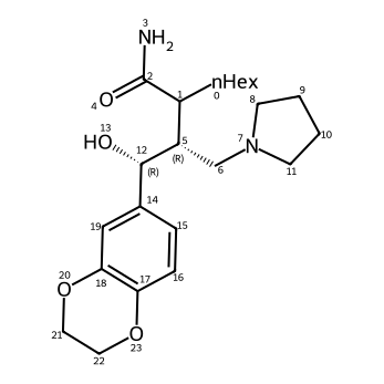 CCCCCCC(C(N)=O)[C@H](CN1CCCC1)[C@@H](O)c1ccc2c(c1)OCCO2